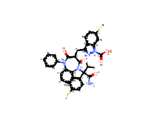 CC(C)C(C(N)=O)(c1ccc(F)cc1)N1C(=O)C(Cc2nn(C(=O)O)c3cc(F)ccc23)C(=O)N(c2ccccc2)c2ccccc21